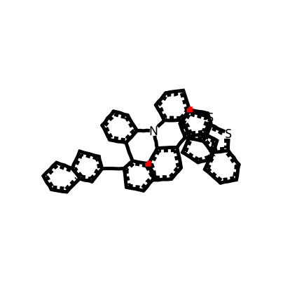 c1ccc(-c2ccccc2N(c2ccccc2-c2cccc3sc4ccccc4c23)c2cccc3sc4ccccc4c23)c(-c2ccc3ccccc3c2)c1